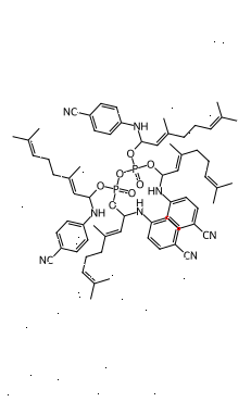 CC(C)=CCC/C(C)=C/C(Nc1ccc(C#N)cc1)OP(=O)(OC(/C=C(\C)CCC=C(C)C)Nc1ccc(C#N)cc1)OP(=O)(OC(/C=C(\C)CCC=C(C)C)Nc1ccc(C#N)cc1)OC(/C=C(\C)CCC=C(C)C)Nc1ccc(C#N)cc1